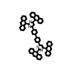 c1ccc2c(-c3cc(-c4ccc(-c5ccc(-c6cc(-c7c8ccccc8cc8ccccc78)nc(-c7c8ccccc8cc8ccccc78)n6)cc5)cc4)nc(-c4c5ccccc5cc5ccccc45)n3)c3ccccc3cc2c1